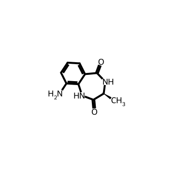 C[C@@H]1NC(=O)c2cccc(N)c2NC1=O